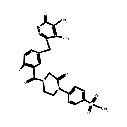 Cc1c(Cc2ccc(F)c(C(=O)N3CCN(c4ccc(S(C)(=O)=O)cc4)C(=O)C3)c2)n[nH]c(=O)c1C